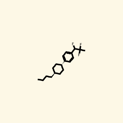 CCCC[C@H]1CC[C@H](c2ccc(C(F)C(C)(F)F)cc2)CC1